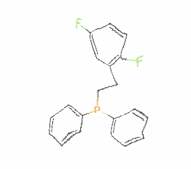 Fc1ccc(F)c(CCP(c2ccccc2)c2ccccc2)c1